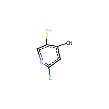 N#Cc1cc(Cl)ncc1S